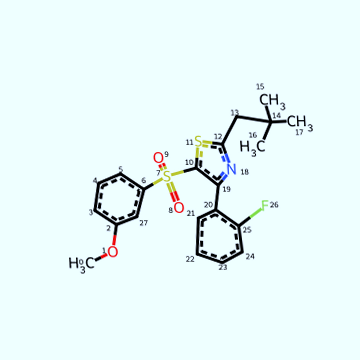 COc1cccc(S(=O)(=O)c2sc(CC(C)(C)C)nc2-c2ccccc2F)c1